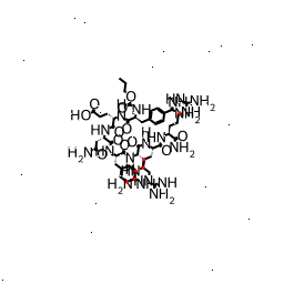 CCCOC(=O)N[C@@H](Cc1ccc(C(=N)N)cc1)C(=O)N[C@@H](CCC(=O)O)C(=O)N[C@@H](CC(N)=O)C(=O)N[C@@H](CC1CCCCC1)C(=O)N[C@@H](CCCNC(=N)N)C(=O)N[C@@H](CCCNC(=N)N)C(=O)N[C@@H](CCCNC(=N)N)C(N)=O